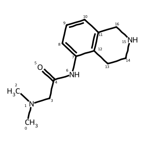 CN(C)CC(=O)Nc1cccc2c1CCNC2